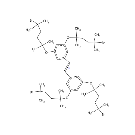 CC(C)(Br)CCC(C)(C)Oc1cc(/C=C/c2cc(OC(C)(C)CCC(C)(C)Br)cc(OC(C)(C)CCC(C)(C)Br)c2)cc(OC(C)(C)CCC(C)(C)Br)c1